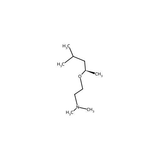 CC(C)C[C@@H](C)OCCN(C)C